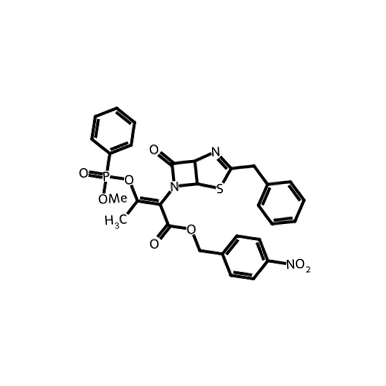 COP(=O)(OC(C)=C(C(=O)OCc1ccc([N+](=O)[O-])cc1)N1C(=O)C2N=C(Cc3ccccc3)SC21)c1ccccc1